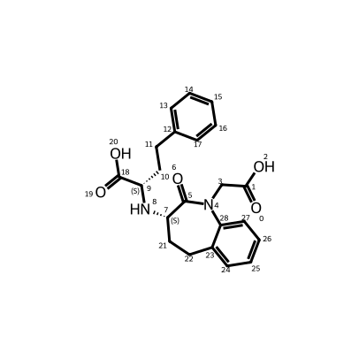 O=C(O)CN1C(=O)[C@@H](N[C@@H](CCc2ccccc2)C(=O)O)CCc2ccccc21